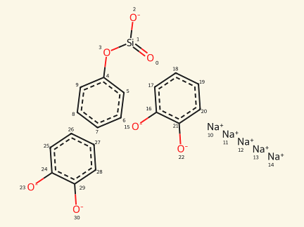 O=[Si]([O-])Oc1ccccc1.[Na+].[Na+].[Na+].[Na+].[Na+].[O-]c1ccccc1[O-].[O-]c1ccccc1[O-]